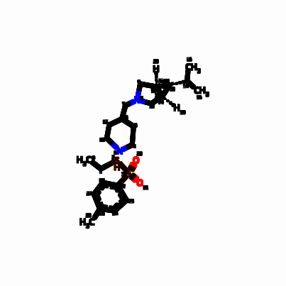 CC[SH](N1CCC(CN2C[C@@H]3[C@H](C2)[C@H]3C(C)C)CC1)S(=O)(=O)c1ccc(C)cc1